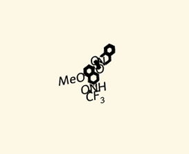 COc1ccc(S(=O)(=O)N2CCc3ccccc3C2)c2c1C[C@@H](NC(=O)C(F)(F)F)CC2